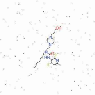 CCCCCCCN(CCN1CCN(CCCO)CC1)C(=O)Nc1c(SC)cc(C)nc1SC